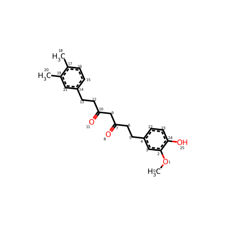 COc1cc(CCC(=O)CC(=O)CCc2ccc(C)c(C)c2)ccc1O